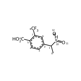 CC(c1ccc(C(=O)O)c(C(F)(F)F)c1)[SH](=O)=O